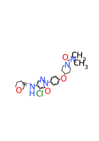 CN(C)C(=O)N1CCC(Oc2ccc(-n3ncc(NC[C@H]4CCCOC4)c(Cl)c3=O)cc2)CC1